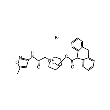 Cc1cc(NC(=O)C[N+]23CCC(CC2)C(OC(=O)C2c4ccccc4Cc4ccccc42)C3)no1.[Br-]